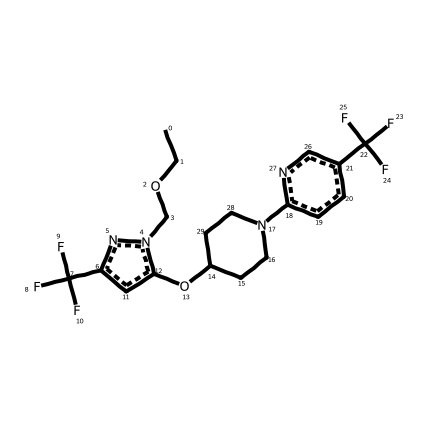 CCOCn1nc(C(F)(F)F)cc1OC1CCN(c2ccc(C(F)(F)F)cn2)CC1